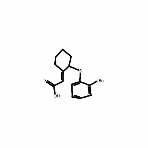 CC(C)(C)c1ccccc1SC1CCCCC1=CC(O)=S